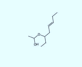 CC/C=C/CC(CC)OC(C)O